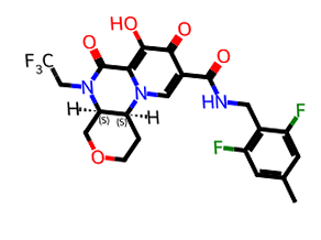 Cc1cc(F)c(CNC(=O)c2cn3c(c(O)c2=O)C(=O)N(CC(F)(F)F)[C@@H]2COCC[C@@H]23)c(F)c1